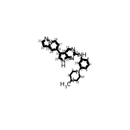 CN1CCN(c2cccc(Nc3ncc4c(-c5ccn6nccc6c5)c[nH]c4n3)c2)CC1